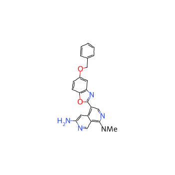 CNc1ncc(-c2nc3cc(OCc4ccccc4)ccc3o2)c2cc(N)ncc12